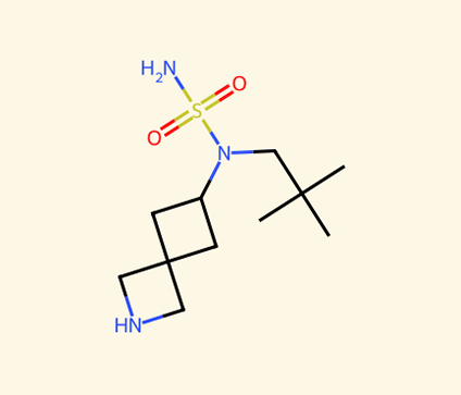 CC(C)(C)CN(C1CC2(CNC2)C1)S(N)(=O)=O